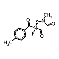 Cc1ccc(C(=O)[N+](F)(C=O)SN(C)C=O)cc1